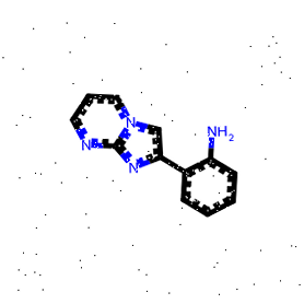 Nc1ccccc1-c1cn2cccnc2n1